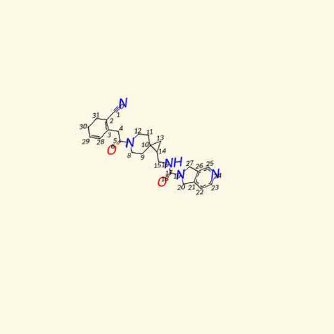 N#CC1=C(CC(=O)N2CCC3(CC2)CC3CNC(=O)N2Cc3ccncc3C2)C=CCC1